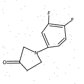 O=C1CCN(c2ccc(F)c(F)c2)C1